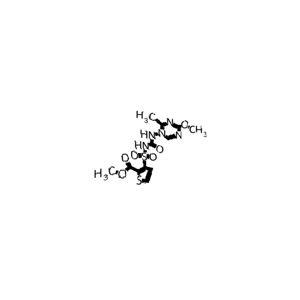 COC(=O)c1sccc1S(=O)(=O)NC(=O)NN1C=NC(OC)=NC1C